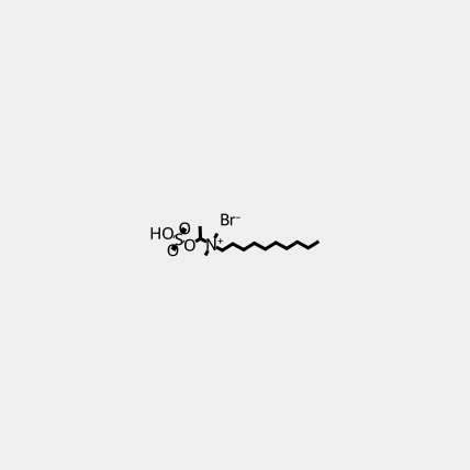 CCCCCCCCCC[N+](C)(C)C(C)OS(=O)(=O)O.[Br-]